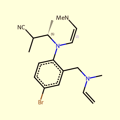 C=CN(C)Cc1cc(Br)ccc1N(/C=C\NC)[C@@H](C)C(C)C#N